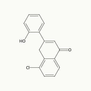 O=C1C=C(c2ccccc2O)Cc2c(Cl)cccc21